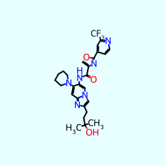 CC(C)(O)CCc1cn2cc(NC(=O)c3coc(-c4ccnc(C(F)(F)F)c4)n3)c(N3CCCCC3)cc2n1